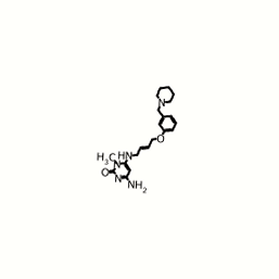 Cn1c(NC/C=C/COc2cccc(CN3CCCCC3)c2)cc(N)nc1=O